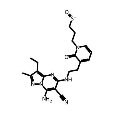 CCc1c(C)nn2c(N)c(C#N)c(NCCc3cccn(CCC[S+]=O)c3=O)nc12